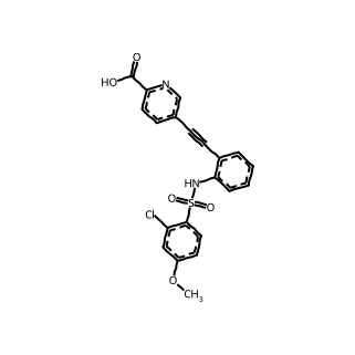 COc1ccc(S(=O)(=O)Nc2ccccc2C#Cc2ccc(C(=O)O)nc2)c(Cl)c1